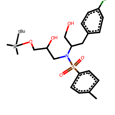 Cc1ccc(S(=O)(=O)N(CC(O)CO[Si](C)(C)C(C)(C)C)C(CO)Cc2ccc(Cl)cc2)cc1